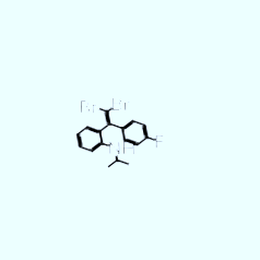 CC(C)Nc1ccccc1C(=C(Br)Br)c1ccc(F)cc1